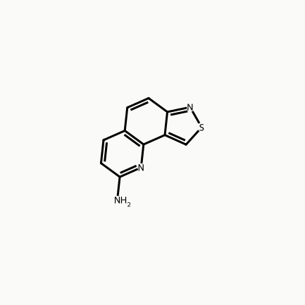 Nc1ccc2ccc3nscc3c2n1